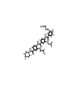 CC(C)COc1cc(C(=O)Nc2ccc(C(=O)N[C@H]3CC[C@H](C)CC3)cc2OCC(C)C)ccc1NC(=O)c1ccc(F)c(OCCO)c1